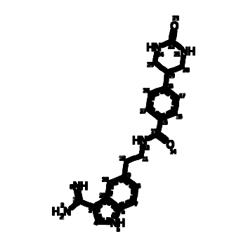 N=C(N)c1c[nH]c2ccc(CCNC(=O)c3ccc(C4CNC(=O)NC4)cc3)cc12